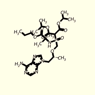 CCCOC(=O)C(C)(C)NP(=O)(CO[C@H](C)Cn1cnc2c(N)ncnc21)C(C(=O)OC(C)C)C(=O)OC(C)C